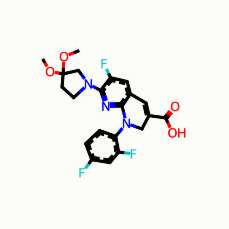 COC1(OC)CCN(c2nc3c(cc2F)C=C(C(=O)O)CN3c2ccc(F)cc2F)C1